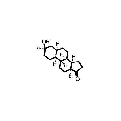 CC[C@]12CC[C@H]3[C@@H](CC[C@@H]4C[C@](C)(O)CC[C@@H]43)[C@@H]1CCC2=O